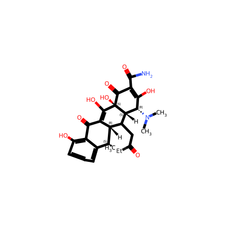 CCC(=O)CC1[C@H]2C(=C(O)[C@]3(O)C(=O)C(C(N)=O)=C(O)[C@H](N(C)C)[C@H]13)C(=O)c1c(O)cccc1[C@H]2C